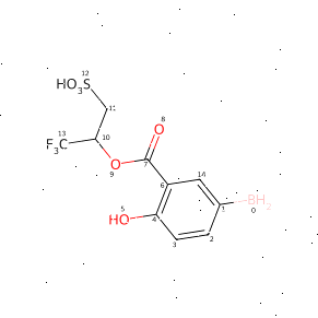 Bc1ccc(O)c(C(=O)OC(CS(=O)(=O)O)C(F)(F)F)c1